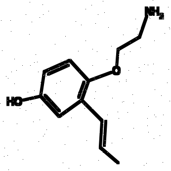 CC=Cc1cc(O)ccc1OCCN